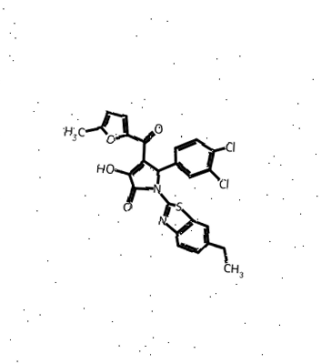 CCc1ccc2nc(N3C(=O)C(O)=C(C(=O)c4ccc(C)o4)C3c3ccc(Cl)c(Cl)c3)sc2c1